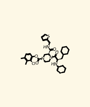 Cc1ccc(OC(=O)N2CCN(C(=O)[C@@H](CC3CCCCC3)NC3CCCCC3)[C@H](C(=O)NCc3cccs3)C2)c(Cl)c1C